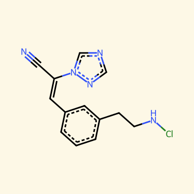 N#CC(=Cc1cccc(CCNCl)c1)n1cncn1